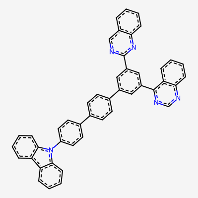 c1ccc2nc(-c3cc(-c4ccc(-c5ccc(-n6c7ccccc7c7ccccc76)cc5)cc4)cc(-c4ncnc5ccccc45)c3)ncc2c1